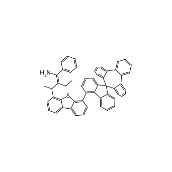 CC/C(=C(/N)c1ccccc1)C(C)c1cccc2c1sc1c(-c3cccc4c3-c3ccccc3C43c4ccccc4-c4ccccc4-c4ccccc43)cccc12